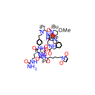 CC[C@H](C)[C@@H]([C@@H](CC(=O)N1CCC[C@H]1[C@H](OC)[C@@H](C)C(=O)N[C@@H](Cc1ccccc1)C(=O)OC(=O)C(F)(F)F)OC)N(C)C(=O)[C@@H](NC(=O)[C@H](C(C)C)N(C)CCc1ccc(NC(=O)[C@H](CCCNC(N)=O)NC(=O)[C@@H](NC(=O)CCCCCN2C(=O)C=CC2=O)C(C)C)cc1)C(C)C